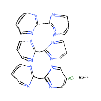 Cl.[Ru+2].c1cnc(-c2ncccn2)nc1.c1cnc(-c2ncccn2)nc1.c1cnc(-c2ncccn2)nc1